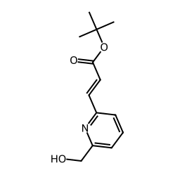 CC(C)(C)OC(=O)C=Cc1cccc(CO)n1